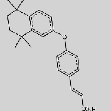 CC1(C)CCC(C)(C)c2cc(Oc3ccc(/C=C/C(=O)O)cc3)ccc21